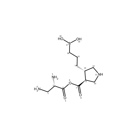 NC[C@H](N)C(=O)OC(=O)[C@@H]1CNC[C@H]1CCCB(O)O